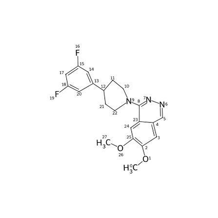 COc1cc2cnnc(N3CCC(c4cc(F)cc(F)c4)CC3)c2cc1OC